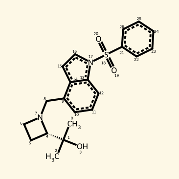 CC(C)(O)[C@@H]1CCN1Cc1cccc2c1ccn2S(=O)(=O)c1ccccc1